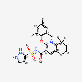 Cc1cc(C)c(Oc2nc3c(cc2C(=O)NS(=O)(=O)c2ccn[nH]2)CCCC3(C)C)c(C)c1